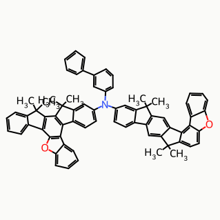 CC1(C)c2cc(N(c3cccc(-c4ccccc4)c3)c3ccc4c(c3)C(C)(C)c3c5c(c6oc7ccccc7c6c3-4)-c3ccccc3C5(C)C)ccc2-c2cc3c(cc21)-c1c(ccc2oc4ccccc4c12)C3(C)C